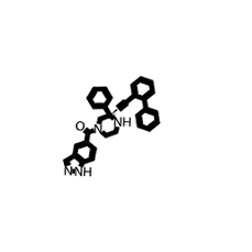 O=C(c1ccc2[nH]ncc2c1)N1CCN[C@](C#Cc2ccccc2-c2ccccc2)(c2ccccc2)C1